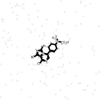 CC(C)c1nc(Br)c2c(Cl)ncc(C3=CCC(N(C)C(=O)O)CC3)n12